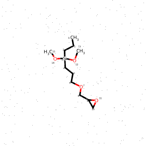 CCC[Si](CCCOCC1CO1)(OC)OC